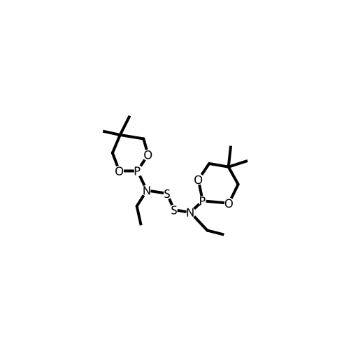 CCN(SSN(CC)P1OCC(C)(C)CO1)P1OCC(C)(C)CO1